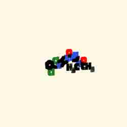 CC(=O)N(C)c1cnn(C(=O)N2CC3CN(Cc4c(Cl)cccc4Cl)CC3C2)c1